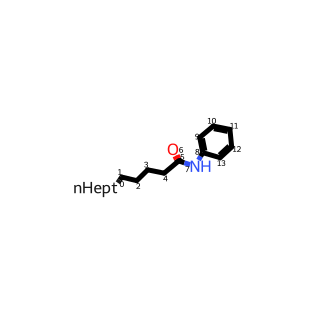 CCCCCCCCCCCC(=O)Nc1ccccc1